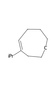 [CH2]C(C)C1=CCCCCCC1